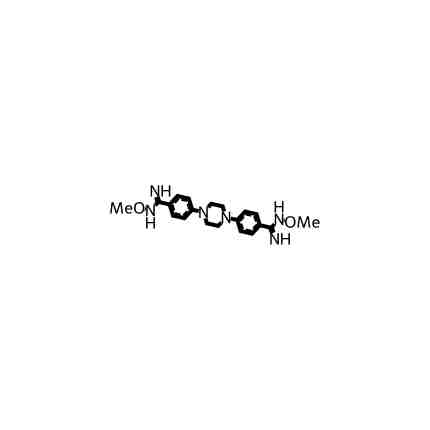 CONC(=N)c1ccc(N2CCN(c3ccc(C(=N)NOC)cc3)CC2)cc1